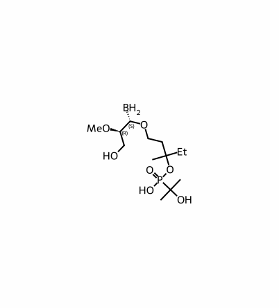 B[C@H](OCCC(C)(CC)OP(=O)(O)C(C)(C)O)[C@@H](CO)OC